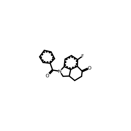 O=C1CCC2CN(C(=O)c3ccccc3)c3ccc(F)c1c32